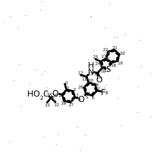 Cc1cc(Oc2cc(F)cc(C(C)NC(=O)c3sc4ccccc4c3C)c2)ccc1OC(C)(C)C(=O)O